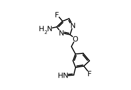 N=Cc1cc(COc2ncc(F)c(N)n2)ccc1F